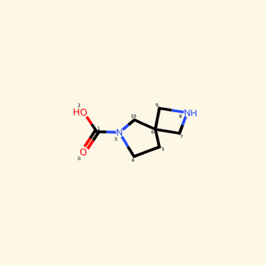 O=C(O)N1CCC2(CNC2)C1